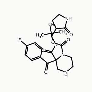 CC(C)(C)OC(=O)N1CCNCC1(C(=O)NCC1CCNC1=O)C(=O)c1ccc(F)cc1